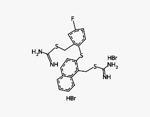 Br.Br.N=C(N)SCc1cc(F)ccc1Sc1ccc2ccccc2c1CSC(=N)N